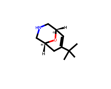 CC(C)(C)C1=C[C@H]2CNC[C@@H](C1)O2